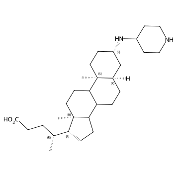 C[C@H](CCC(=O)O)[C@H]1CCC2C3CC[C@@H]4C[C@@H](NC5CCNCC5)CC[C@]4(C)C3CC[C@@]21C